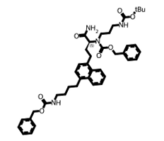 CC(C)(C)OC(=O)NCCCN(C(=O)OCc1ccccc1)[C@@H](CCc1ccc(CCCCNC(=O)OCc2ccccc2)c2ccccc12)C(N)=O